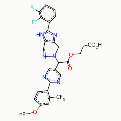 CCCOc1ccc(-c2ncc(C(C(=O)OCCC(=O)O)N3Cc4nc(-c5cccc(F)c5F)[nH]c4C=N3)cn2)c(C(F)(F)F)c1